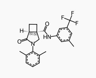 Cc1cc(NC(=O)[C@@]23CC[C@@H]2C(=O)N(c2c(C)cccc2C)C3)cc(C(F)(F)F)c1